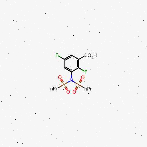 CCCS(=O)(=O)N(c1cc(F)cc(C(=O)O)c1F)S(=O)(=O)CCC